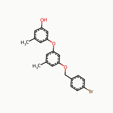 Cc1cc(O)cc(Oc2cc(C)cc(OCc3ccc(Br)cc3)c2)c1